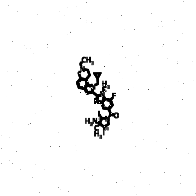 CCN1CCc2c(ccc3cc(-c4nc5cc(C(=O)N6C[C@@H](I)[C@](C)(N)[C@H]6I)cc(F)c5n4C)n(CC4CC4)c23)C1